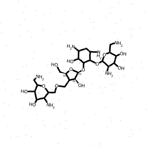 NCC1OC(COCC2[C@@H](CO)O[C@@H](OC3C(O)C(N)CC(N)C3OC3OC(CN)C(O)C(O)C3N)[C@H]2O)C(N)C(O)C1O